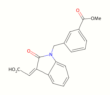 COC(=O)c1cccc(CN2C(=O)C(=CC(=O)O)c3ccccc32)c1